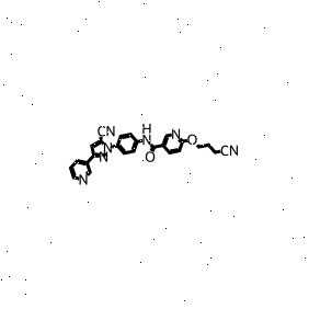 N#CCCCOc1ccc(C(=O)Nc2ccc(-n3nc(-c4cccnc4)cc3C#N)cc2)cn1